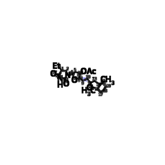 CCc1cn([C@H]2C[C@H](OC(C)=O)[C@@H](/C=C/C(=O)Cc3c(C)cccc3C)O2)c(=O)[nH]c1=O